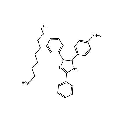 CC(=O)Nc1ccc(N2NC(c3ccccc3)=NN2c2ccccc2)cc1.CCCCCCCCCCCCCCCCCC(=O)O